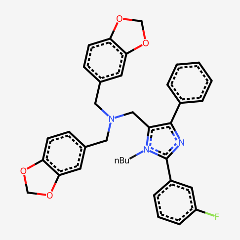 CCCCn1c(-c2cccc(F)c2)nc(-c2ccccc2)c1CN(Cc1ccc2c(c1)OCO2)Cc1ccc2c(c1)OCO2